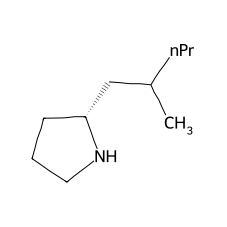 CCCC(C)C[C@H]1CCCN1